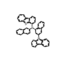 c1ccc2cc(N(c3cc(-n4c5ccccc5c5ccccc54)cc4ccccc34)c3cccc4c3sc3ccccc34)ccc2c1